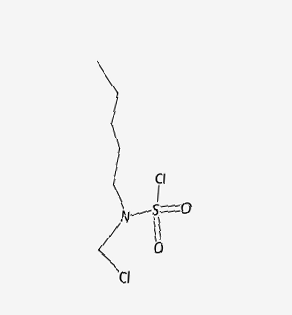 CCCCCN(CCl)S(=O)(=O)Cl